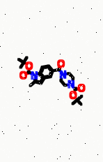 Cc1cc2cc(C(=O)N3CCN(C(=O)OC(C)(C)C)CC3)ccc2n1C(=O)OC(C)(C)C